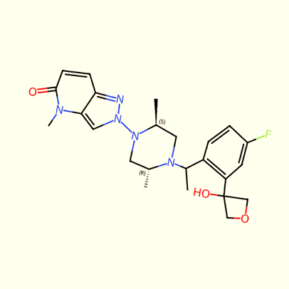 CC(c1ccc(F)cc1C1(O)COC1)N1C[C@H](C)N(n2cc3c(ccc(=O)n3C)n2)C[C@H]1C